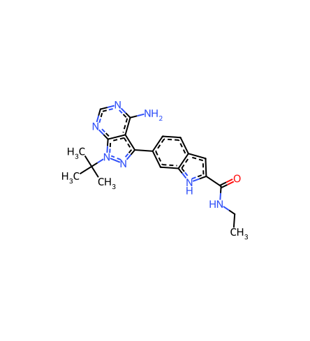 CCNC(=O)c1cc2ccc(-c3nn(C(C)(C)C)c4ncnc(N)c34)cc2[nH]1